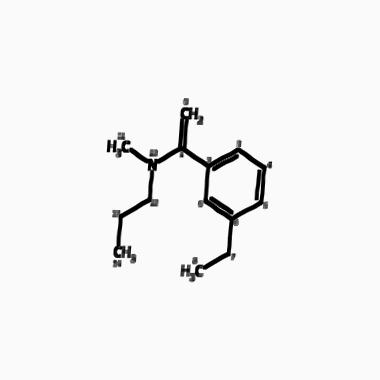 C=C(c1cccc(CC)c1)N(C)CCC